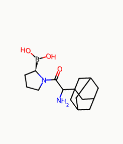 NC(C(=O)N1CCC[C@H]1B(O)O)C12CC3CC(CC(C3)C1)C2